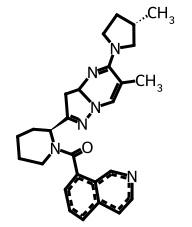 CC1=CN2N=C([C@@H]3CCCCN3C(=O)c3cccc4ccncc34)CC2N=C1N1CC[C@H](C)C1